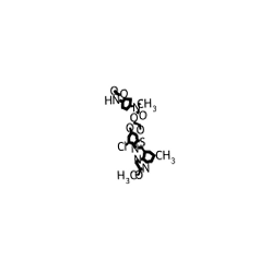 COc1cnc2c(-c3nc4c(Cl)cc5c(c4s3)OC[C@@H](OC(=O)N(C)c3ccc4[nH]c(=O)oc4c3)O5)cc(C)cc2n1